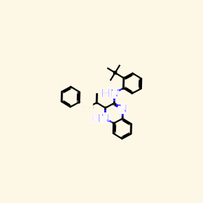 CC([Se]c1ccccc1)C1Nc2ccccc2N=C1Nc1ccccc1C(C)(C)C